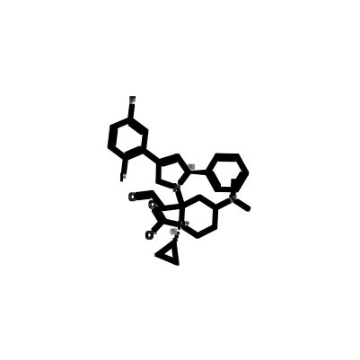 CN(C)C1CC[N@+](C(=O)[O-])(C2CC2)C(CC=O)(N2CC(c3cc(F)ccc3F)=C[C@H]2c2ccccc2)C1